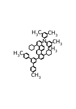 Cc1ccc(-c2cc(-c3ccc(C)cc3)cc(-c3ccc(C4CCCCC4)c4c3ccc3c4ccc4c(N(c5cc(C)cc(C)c5)c5cc(C)cc(C)c5)ccc(C5CCCCC5)c43)c2)cc1